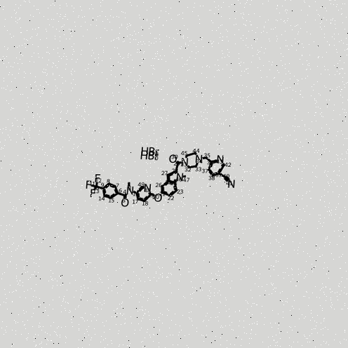 Br.Br.CN(C(=O)c1ccc(C(F)(F)F)cc1)c1ccc(Oc2ccc3c(c2)cc(C(=O)N2CCN(Cc4ccc(C#N)cn4)CC2)n3C)nc1